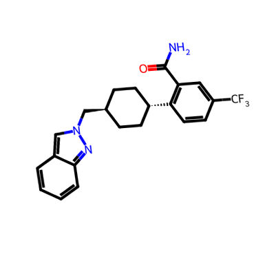 NC(=O)c1cc(C(F)(F)F)ccc1[C@H]1CC[C@H](Cn2cc3ccccc3n2)CC1